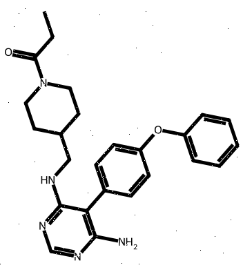 CCC(=O)N1CCC(CNc2ncnc(N)c2-c2ccc(Oc3ccccc3)cc2)CC1